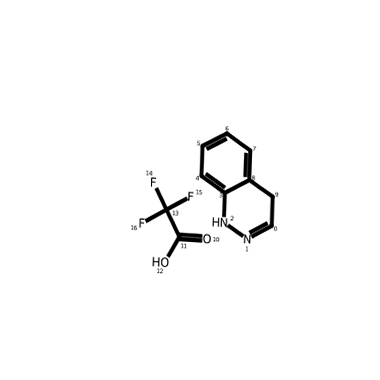 C1=NNc2ccccc2C1.O=C(O)C(F)(F)F